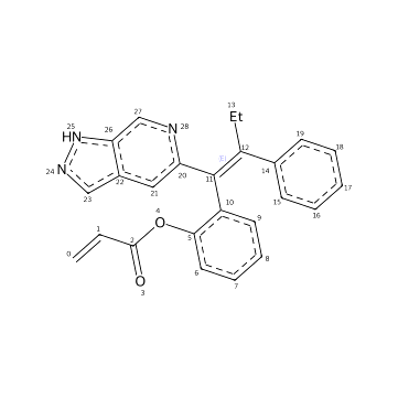 C=CC(=O)Oc1ccccc1/C(=C(/CC)c1ccccc1)c1cc2cn[nH]c2cn1